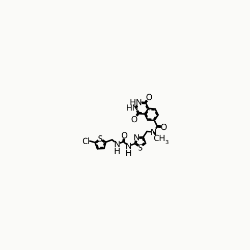 CN(Cc1csc(NC(=O)NCc2ccc(Cl)s2)n1)C(=O)c1ccc2c(=O)[nH][nH]c(=O)c2c1